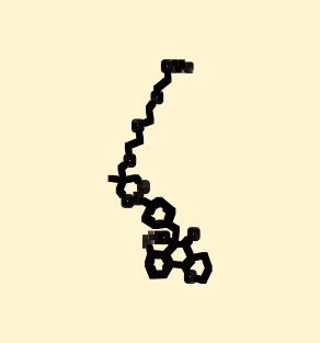 COCCOCCOCCOCC1(C)COB(c2ccc(CC3(O)C(=O)C4=C(OCCC4)c4cccc(F)c43)cc2)OC1